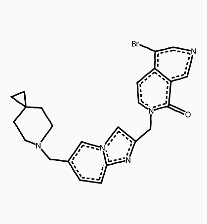 O=c1c2cncc(Br)c2ccn1Cc1cn2cc(CN3CCC4(CC3)CC4)ccc2n1